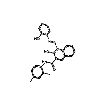 Cc1ccc(NC(=O)c2cc3ccccc3c(N=Nc3ccccc3O)c2O)c(C)c1